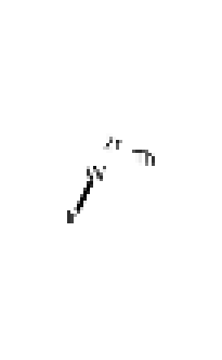 [Th].[W][Ir].[Zr]